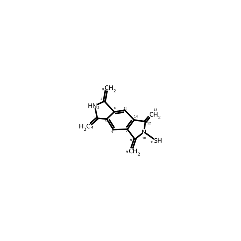 C=c1[nH]c(=C)c2cc3c(=C)n(S)c(=C)c3cc12